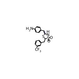 Nc1ccc(/C=C2/NS(=O)(=O)C(Cc3cccc(C(F)(F)F)c3)S2)cc1